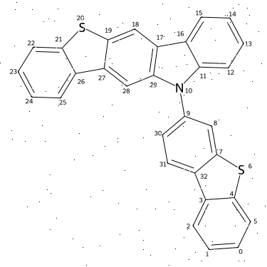 c1ccc2c(c1)sc1cc(-n3c4ccccc4c4cc5sc6ccccc6c5cc43)ccc12